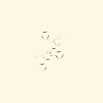 N=C(/C=C(\N)C1=CCCC=C1)c1ccccc1C(=O)NC(C=O)Cc1ccccc1